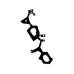 Cl.N[C@@H]1C[C@H]1c1ccc(NC(=O)c2ccccc2)cc1